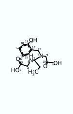 CCC(NCC(=O)O)N(CC(=O)O)Cc1ccccc1O